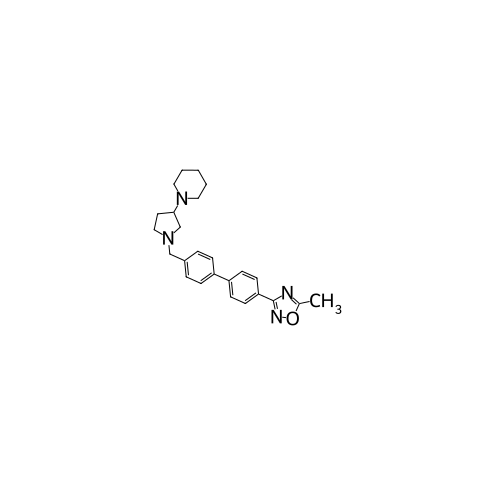 Cc1nc(-c2ccc(-c3ccc(CN4CCC(N5CCCCC5)C4)cc3)cc2)no1